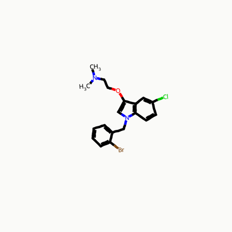 CN(C)CCOc1cn(Cc2ccccc2Br)c2ccc(Cl)cc12